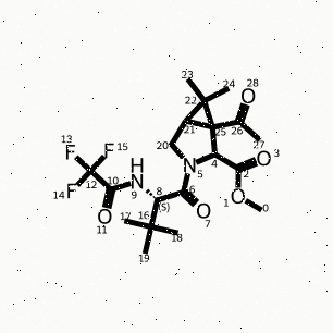 COC(=O)C1N(C(=O)[C@@H](NC(=O)C(F)(F)F)C(C)(C)C)CC2C(C)(C)C12C(C)=O